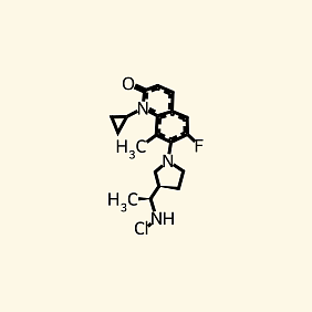 Cc1c(N2CC[C@@H]([C@H](C)NCl)C2)c(F)cc2ccc(=O)n(C3CC3)c12